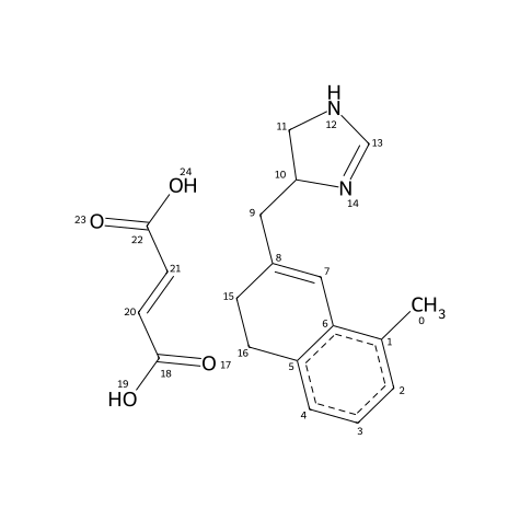 Cc1cccc2c1C=C(CC1CNC=N1)CC2.O=C(O)/C=C/C(=O)O